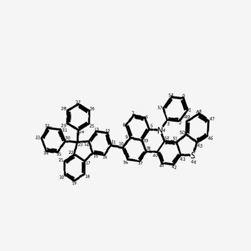 c1ccc(N2c3cccc4c(-c5ccc6c(c5)-c5ccccc5C6(c5ccccc5)c5ccccc5)ccc(c34)-c3ccc4sc5ccccc5c4c32)cc1